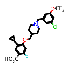 O=C(O)c1cc(C2CC2)c(OCC2CCN(Cc3cc(Cl)cc(OC(F)(F)F)c3)CC2)cc1F